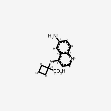 Nc1ccc2nccc(SC3(C(=O)O)CCC3)c2c1